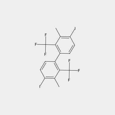 Cc1c(I)ccc(-c2ccc(I)c(C)c2C(F)(F)F)c1C(F)(F)F